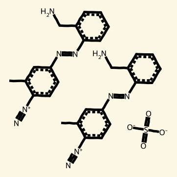 Cc1cc(N=Nc2ccccc2CN)ccc1[N+]#N.Cc1cc(N=Nc2ccccc2CN)ccc1[N+]#N.O=S(=O)([O-])[O-]